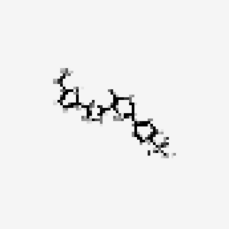 Cc1ncc(-c2ccc(S(=O)(=O)C(C)C)cc2)nc1-c1nnc(-c2ccc(CBr)s2)o1